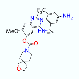 COc1cc2nc(C)nc(N[C@H](C)c3cc(N)cc(C(F)(F)F)c3)c2cc1OC(=O)N1CCC2(CCOC2)CC1